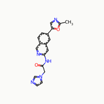 Cc1ncc(-c2ccc3cnc(NC(=O)Cn4ccnc4)cc3c2)o1